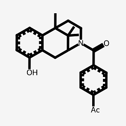 CC(=O)c1ccc(C(=O)N2CCC3(C)c4cccc(O)c4CC2C3(C)C)cc1